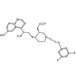 COc1ccc2nccc(C(N)CC[C@@H]3CCN(CCSc4cc(F)cc(F)c4)C[C@@H]3CC(=O)O)c2c1